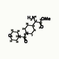 COC(=O)C(N)C1CCN(C(=O)N2CCOCC2)CC1